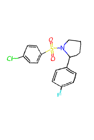 O=S(=O)(c1ccc(Cl)cc1)N1CCCC1c1ccc(F)cc1